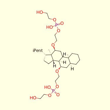 CCC[C@@H](C)[C@H]1CC[C@H]2[C@@H]3[C@H](OCCOP(=O)(O)OCCO)C[C@@H]4CCCC[C@]4(C)[C@H]3C[C@H](OCCOP(=O)(O)OCCO)[C@]12C